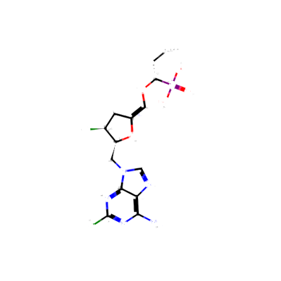 CNC[C@@H](O/C=C1\C[C@H](F)[C@H](Cn2cnc3c(N)nc(Cl)nc32)O1)P(=O)(O)O